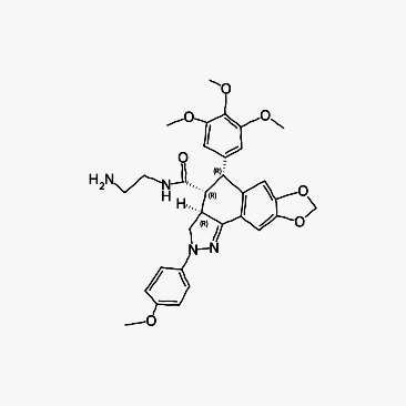 COc1ccc(N2C[C@@H]3C(=N2)c2cc4c(cc2[C@@H](c2cc(OC)c(OC)c(OC)c2)[C@H]3C(=O)NCCN)OCO4)cc1